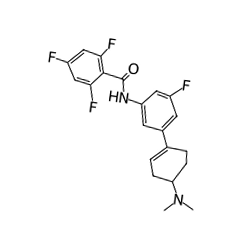 CN(C)C1CC=C(c2cc(F)cc(NC(=O)c3c(F)cc(F)cc3F)c2)CC1